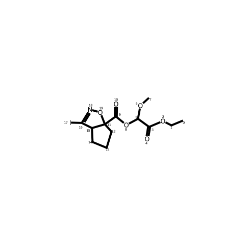 CCOC(=O)C(OC)OC(=O)C12CCCC1C(I)=NO2